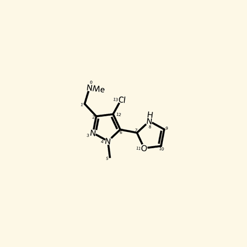 CNCc1nn(C)c(C2NC=CO2)c1Cl